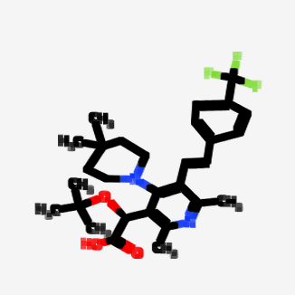 Cc1nc(C)c([C@H](OC(C)(C)C)C(=O)O)c(N2CCC(C)(C)CC2)c1/C=C/c1ccc(C(F)(F)F)cc1